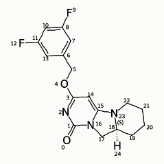 O=c1nc(OCc2cc(F)cc(F)c2)cc2n1C[C@@H]1CCCCN21